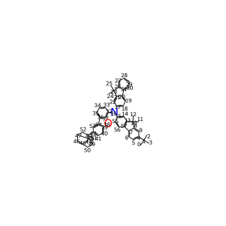 CC(C)(C)c1ccc2c(c1)C(C)(C)c1cc(N(c3ccc4c(c3)C(C)(C)c3ccccc3-4)c3cccc4c3oc3ccc(C56CC7CC(CC(C7)C5)C6)cc34)ccc1-2